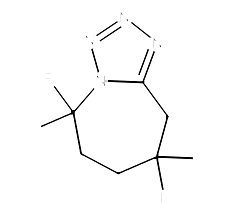 FC1(F)CCC(F)(F)n2nnnc2C1